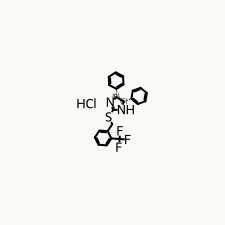 Cl.FC(F)(F)c1ccccc1CSC1=N[C@H](c2ccccc2)[C@H](c2ccccc2)N1